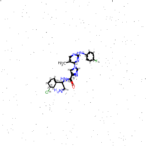 Cc1cnc(Nc2ccc(F)cc2)nc1-n1cnc(C(=O)NC(CN)C2=CC=C[C@H](Cl)C2)c1